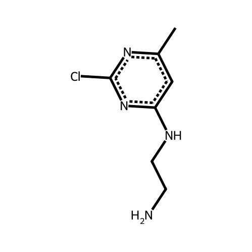 Cc1cc(NCCN)nc(Cl)n1